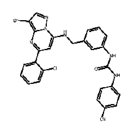 N#Cc1ccc(NC(=O)Nc2cccc(CNc3cc(-c4ccccc4Cl)nc4c(Br)cnn34)c2)cc1